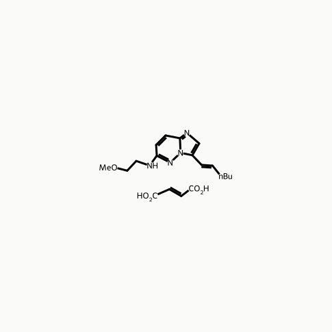 CCCC/C=C/c1cnc2ccc(NCCOC)nn12.O=C(O)/C=C/C(=O)O